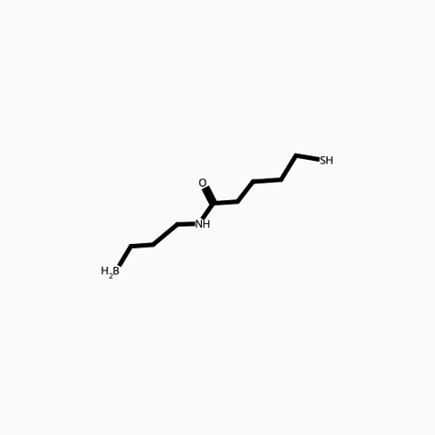 BCCCNC(=O)CCCCS